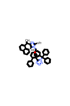 C=C(c1nc(CCC)n(Cc2ccc(-c3ccccc3)c(-c3nnnn3C(c3ccccc3)(c3ccccc3)c3ccccc3)c2)c1C=O)c1cccc2ccccc12